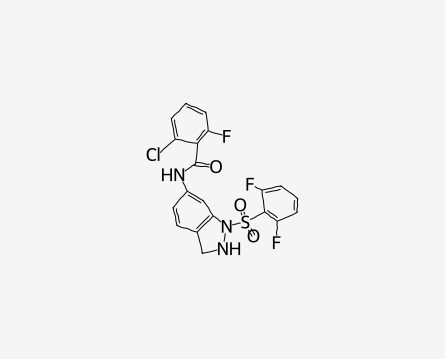 O=C(Nc1ccc2c(c1)N(S(=O)(=O)c1c(F)cccc1F)NC2)c1c(F)cccc1Cl